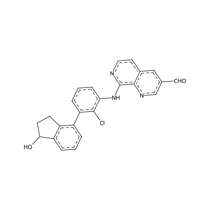 O=Cc1cnc2c(Nc3cccc(-c4cccc5c4CCC5O)c3Cl)nccc2c1